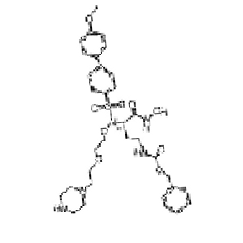 COc1ccc(-c2ccc(S(=O)(=O)N(OCCOCCN3CCNCC3)[C@H](CCNC(=O)OCc3ccccc3)C(=O)NO)cc2)cc1